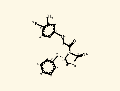 Cc1cc(OCC(=O)N2C(=O)OC[C@@H]2Cc2ccccc2)ccc1F